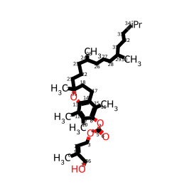 CC(=CCOC(=O)Oc1c(C)c(C)c2c(c1C)CCC(C)(CCCC(C)CCCC(C)CCCC(C)C)O2)CO